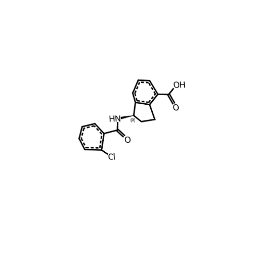 O=C(N[C@@H]1CCc2c(C(=O)O)cccc21)c1ccccc1Cl